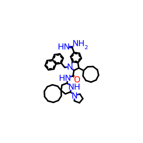 N=C(N)c1ccc2c(c1)N(Cc1cccc3ccccc13)C(C(=O)NC1CC3(CCCCCCCCC3)CC(N3CCCC3)N1)C2C1CCCCCCCC1